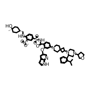 CC(C)c1ccccc1C1CN(C2CCOC2)CCN1C1CC2(CCN(c3ccc(C(=O)NS(=O)(=O)c4ccc(NC[C@H]5CC[C@](C)(O)CC5)c([N+](=O)[O-])c4)c(Oc4cnc5[nH]ccc5c4)c3)CC2)C1